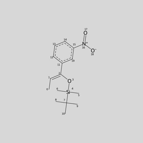 CC=C(O[Si](C)(C)C(C)(C)C)c1cccc([N+](=O)[O-])c1